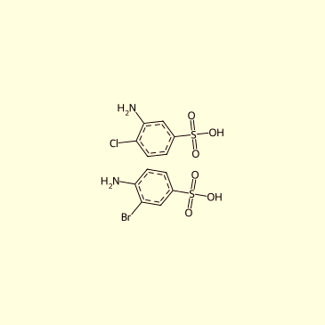 Nc1cc(S(=O)(=O)O)ccc1Cl.Nc1ccc(S(=O)(=O)O)cc1Br